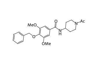 COc1cc(C(=O)NC2CCN(C(C)=O)CC2)cc(OC)c1OCc1ccccc1